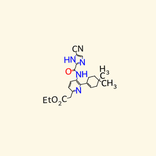 CCOC(=O)Cc1ccc(NC(=O)c2ncc(C#N)[nH]2)c(C2=CCC(C)(C)CC2)n1